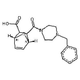 O=C(O)C1C(C(=O)N2CCN(Cc3ccccc3)CC2)[C@@H]2C=C[C@H]1O2